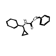 O=C(N[C@H](C1CCCCC1)C1CC1)Oc1ccccc1